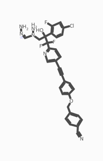 N#Cc1ccc(COc2ccc(C#Cc3ccc(C(F)(F)C(O)(CN(N)/C=N\N)c4ccc(Cl)cc4F)nc3)cc2)cc1